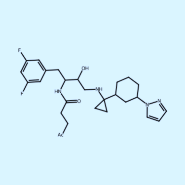 CC(=O)CCC(=O)NC(Cc1cc(F)cc(F)c1)C(O)CNC1(C2CCCC(n3cccn3)C2)CC1